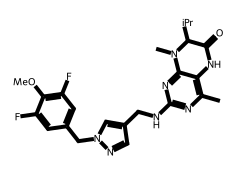 COc1c(F)cc(Cn2cc(CNc3nc(C)c4c(n3)N(C)C(C(C)C)C(=O)N4)cn2)cc1F